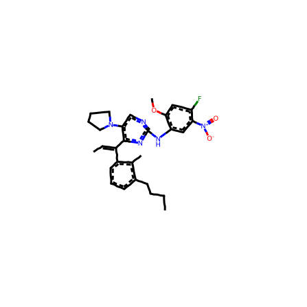 C/C=C(\c1cccc(CCCC)c1C)c1nc(Nc2cc([N+](=O)[O-])c(F)cc2OC)ncc1N1CCCC1